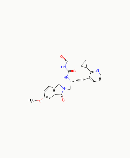 COc1ccc2c(c1)C(=O)N(C[C@@H](C#Cc1cccnc1C1CC1)NC(=O)NC=O)C2